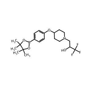 CC1(C)OB(c2ccc(OC3CCN(CC(O)C(F)(F)F)CC3)cc2)OC1(C)C